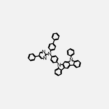 c1ccc(-c2ccc(N(c3ccc(-n4c5ccccc5c5cc6c7ccccc7n(-c7ccccc7)c6cc54)cc3)c3ncc(-c4ccccc4)cn3)cc2)cc1